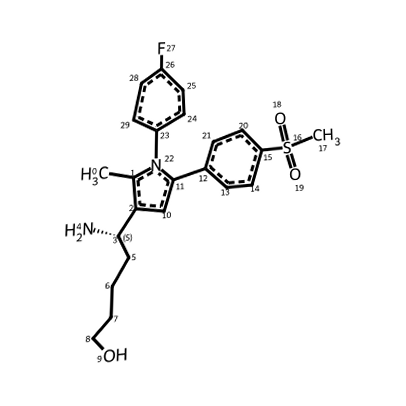 Cc1c([C@@H](N)CCCCO)cc(-c2ccc(S(C)(=O)=O)cc2)n1-c1ccc(F)cc1